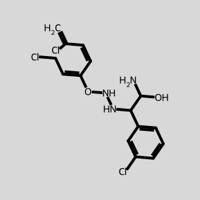 C=C(Cl)/C=C\C(=C/CCl)ONNC(c1cccc(Cl)c1)C(N)O